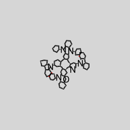 c1ccc(-n2c3ccccc3oc3cc4c(cc32)c2cc(-n3c5ccccc5c5ccccc53)ccc2c2cc3c(cc2c2cc(-n5c6ccccc6c6ccccc65)cnc24)n(-c2ccccc2)c2ccccc2n3-c2ccccc2)cc1